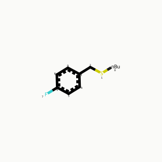 [CH2]CCCSCc1ccc(F)cc1